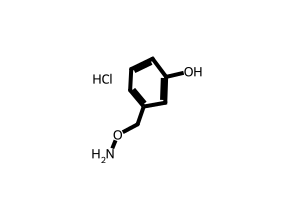 Cl.NOCc1cccc(O)c1